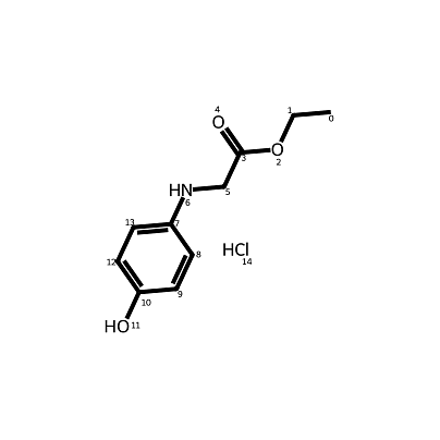 CCOC(=O)CNc1ccc(O)cc1.Cl